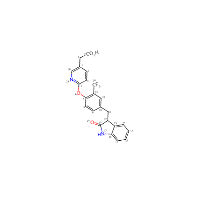 O=C(O)Cc1ccc(Oc2ccc(CC3C(=O)Nc4ccccc43)cc2C(F)(F)F)nc1